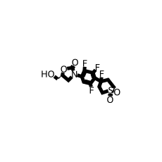 O=C1O[C@@H](CO)CN1c1cc(F)c(C2(F)CCS(=O)(=O)CC2)c(F)c1F